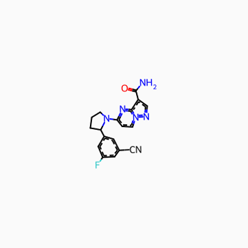 N#Cc1cc(F)cc(C2CCCN2c2ccn3ncc(C(N)=O)c3n2)c1